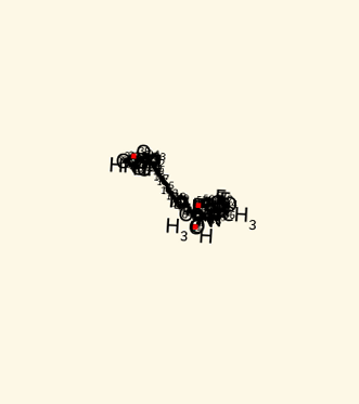 COc1cc(C(=O)NC2CCN(CCCCCCCCNc3cccc4c3C(=O)N(C3CCC(=O)NC3=O)C4=O)CC2)c(F)cc1Nc1ncc2c(n1)N(C1CCCC1)CC(F)(F)C(=O)N2C